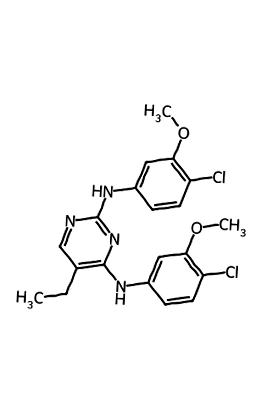 CCc1cnc(Nc2ccc(Cl)c(OC)c2)nc1Nc1ccc(Cl)c(OC)c1